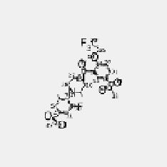 CS(=O)(=O)c1ccc(N2CCN(C(=O)c3cc(S(C)(=O)=O)ccc3OCC(F)(F)F)CC2)c(F)c1